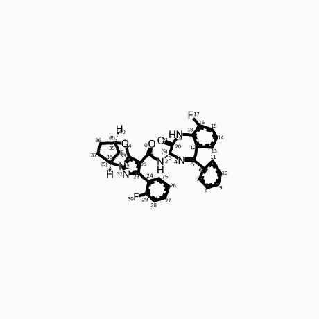 O=C(N[C@H]1N=C(c2ccccc2)c2cccc(F)c2NC1=O)c1c(-c2ccccc2F)nn2c1O[C@@H]1CC[C@H]2C1